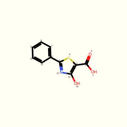 O=C(O)c1sc(-c2ccccc2)nc1O